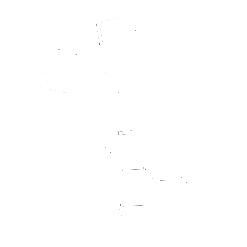 CCCCCCCCCNC(=O)C(CC(=O)OC(C)(C)C)NC(=O)OCC1c2ccccc2-c2ccccc21